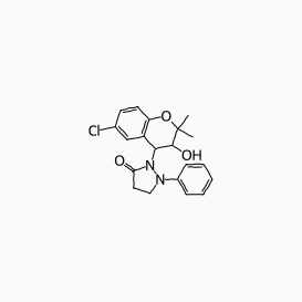 CC1(C)Oc2ccc(Cl)cc2C(N2C(=O)CCN2c2ccccc2)C1O